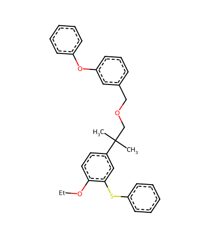 CCOc1ccc(C(C)(C)COCc2cccc(Oc3ccccc3)c2)cc1Sc1ccccc1